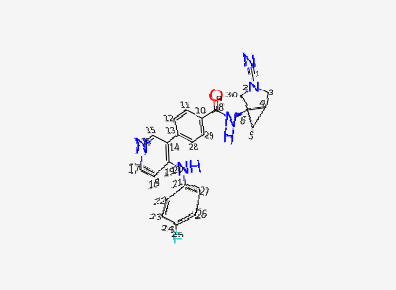 N#CN1CC2C[C@]2(NC(=O)c2ccc(-c3cnccc3Nc3ccc(F)cc3)cc2)C1